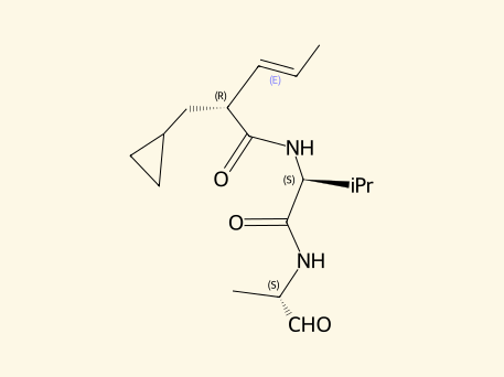 C/C=C/[C@@H](CC1CC1)C(=O)N[C@H](C(=O)N[C@@H](C)C=O)C(C)C